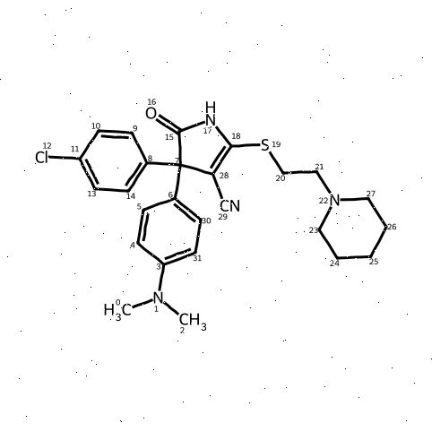 CN(C)c1ccc(C2(c3ccc(Cl)cc3)C(=O)NC(SCCN3CCCCC3)=C2C#N)cc1